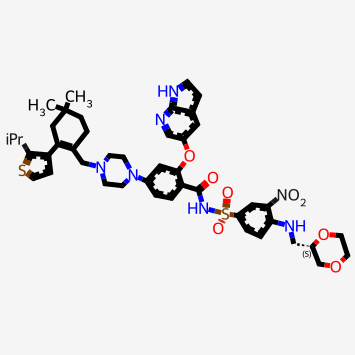 CC(C)c1sccc1C1=C(CN2CCN(c3ccc(C(=O)NS(=O)(=O)c4ccc(NC[C@H]5COCCO5)c([N+](=O)[O-])c4)c(Oc4cnc5[nH]ccc5c4)c3)CC2)CCC(C)(C)C1